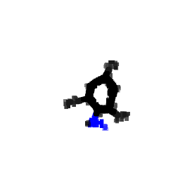 CCc1cc(C(C)C)c(N)c(C(C)C)c1